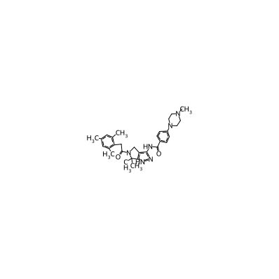 Cc1cc(C)c(CC(=O)N2Cc3c(NC(=O)c4ccc(N5CCN(C)CC5)cc4)n[nH]c3C2(C)C)c(C)c1